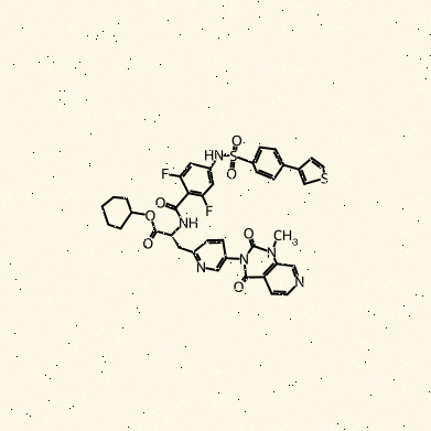 Cn1c(=O)n(-c2ccc(C[C@H](NC(=O)c3c(F)cc(NS(=O)(=O)c4ccc(-c5ccsc5)cc4)cc3F)C(=O)OC3CCCCC3)nc2)c(=O)c2ccncc21